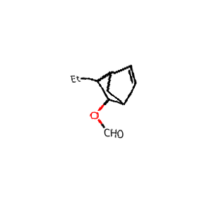 CCC1C2C=CC(C2)C1OC=O